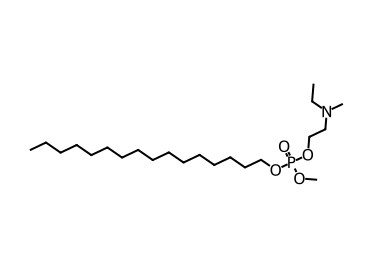 CCCCCCCCCCCCCCCCOP(=O)(OC)OCCN(C)CC